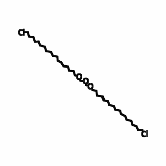 ClCCCCCCCCCCCCCC=CCCCOCOCOCCCC=CCCCCCCCCCCCCCCl